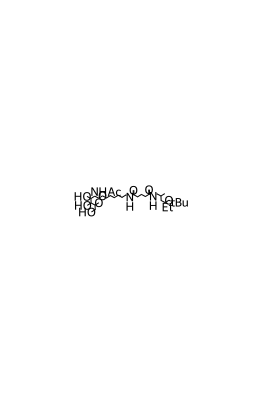 CCC(CC(C)CNC(=O)CCCC(=O)NCCCCCCOC1OC(CO)C(O)C(O)C1NC(C)=O)OC(C)(C)C